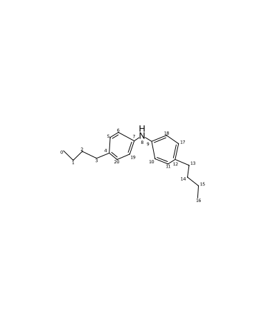 CCCCc1ccc(Nc2ccc(CCCC)cc2)cc1